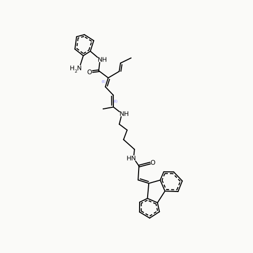 CC=C/C(=C\C=C(/C)NCCCCNC(=O)C=C1c2ccccc2-c2ccccc21)C(=O)Nc1ccccc1N